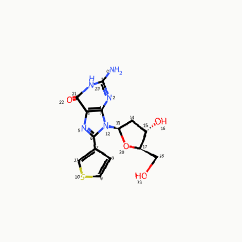 Nc1nc2c(nc(-c3ccsc3)n2[C@H]2C[C@H](O)[C@@H](CO)O2)c(=O)[nH]1